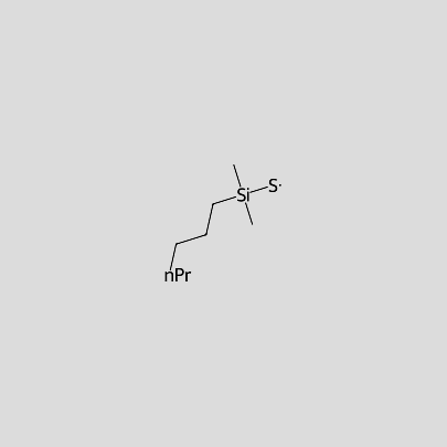 CCCCCC[Si](C)(C)[S]